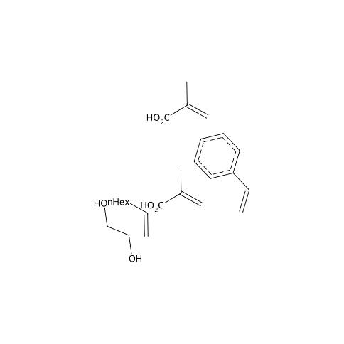 C=C(C)C(=O)O.C=C(C)C(=O)O.C=CCCCCCC.C=Cc1ccccc1.OCCO